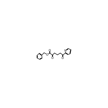 O=C(CCCC(=O)c1ccccn1)C(=O)OCc1ccccc1